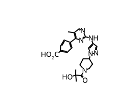 Cc1cnc(Nc2cnn(C3CCN(C(=O)C(C)(C)O)CC3)c2)nc1-c1ccc(C(=O)O)cc1